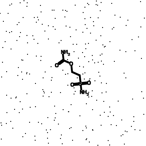 NC(=O)OCCS(N)(=O)=O